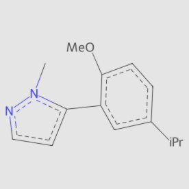 COc1ccc(C(C)C)cc1-c1ccnn1C